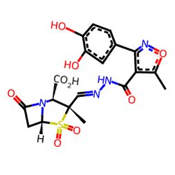 Cc1onc(-c2ccc(O)c(O)c2)c1C(=O)N/N=C/[C@@]1(C)[C@H](C(=O)O)N2C(=O)C[C@H]2S1(=O)=O